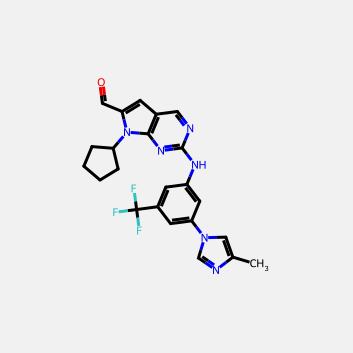 Cc1cn(-c2cc(Nc3ncc4cc(C=O)n(C5CCCC5)c4n3)cc(C(F)(F)F)c2)cn1